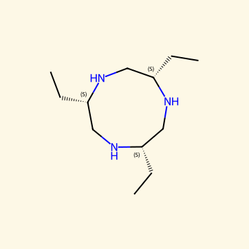 CC[C@H]1CN[C@@H](CC)CN[C@@H](CC)CN1